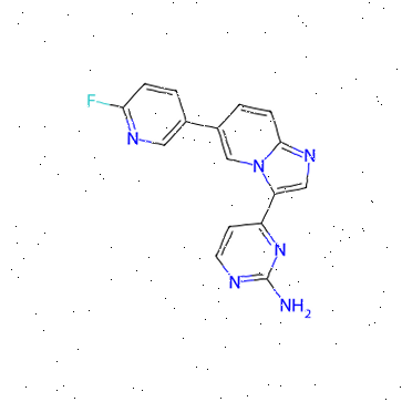 Nc1nccc(-c2cnc3ccc(-c4ccc(F)nc4)cn23)n1